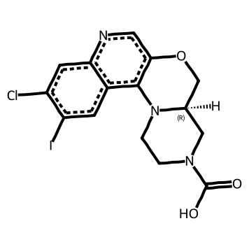 O=C(O)N1CCN2c3c(cnc4cc(Cl)c(I)cc34)OC[C@H]2C1